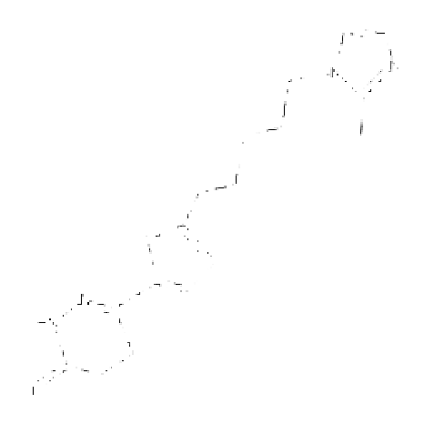 Cc1nccn1CCCCCc1ccc(C2=NNC(=O)CC2)s1